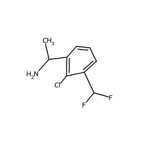 CC(N)c1cccc(C(F)F)c1Cl